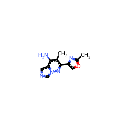 Cc1nc(-c2nn3cncc3c(N)c2C)co1